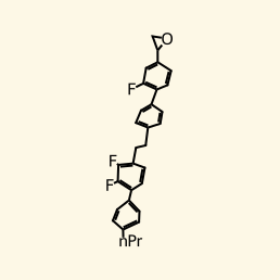 CCCc1ccc(-c2ccc(CCc3ccc(-c4ccc(C5CO5)cc4F)cc3)c(F)c2F)cc1